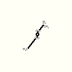 CCCCCCCCCCCCOC(=O)C1CCC(C(=O)OCCCCCC(C)C)CC1